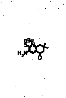 CCCCSc1nc2c(cc1N)C(=O)CC(C)(C)C2